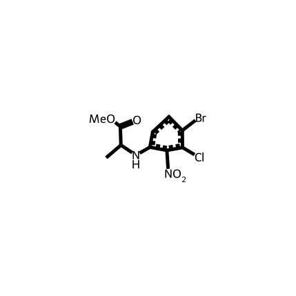 COC(=O)C(C)Nc1ccc(Br)c(Cl)c1[N+](=O)[O-]